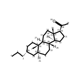 CCC[C@@H]1CC[C@@]2(C)[C@@H](CC[C@@H]3[C@@H]2CC[C@]2(C)[C@@H](C(C)=O)CC[C@@H]32)C1